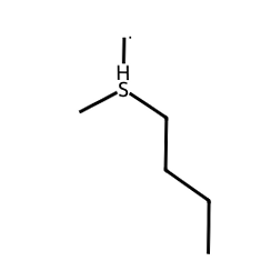 [CH2][SH](C)CCCC